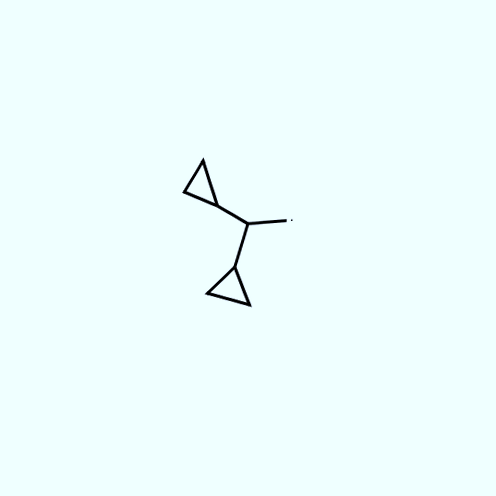 [CH2]C(C1CC1)C1CC1